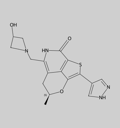 C[C@H]1Cc2c(CN3CC(O)C3)[nH]c(=O)c3sc(-c4cn[nH]c4)c(c23)O1